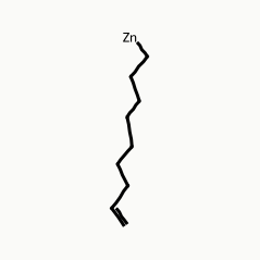 C=CCCCCCC[CH2][Zn]